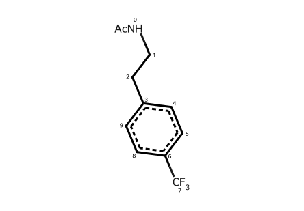 CC(=O)NCCc1ccc(C(F)(F)F)cc1